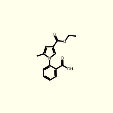 CCOC(=O)c1cc(C)n(-c2ccccc2C(=O)O)c1